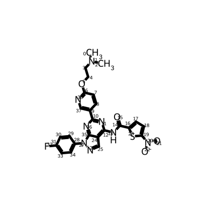 CN(C)CCOc1ccc(-c2nc(NC(=O)c3ccc([N+](=O)[O-])s3)c3cnn(-c4ccc(F)cc4)c3n2)cn1